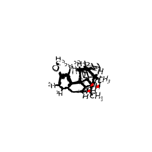 [2H]c1c([2H])c(OC)c([2H])c2c1C[C@@H]1N(C)C([2H])([2H])C([2H])([2H])[C@]23C([2H])([2H])C([2H])([2H])C([2H])(C)C([2H])([2H])[C@]13[2H]